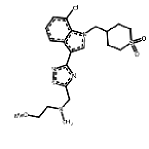 COCCN(C)Cc1nc(-c2cn(CC3CCS(=O)(=O)CC3)c3c(Cl)cccc23)ns1